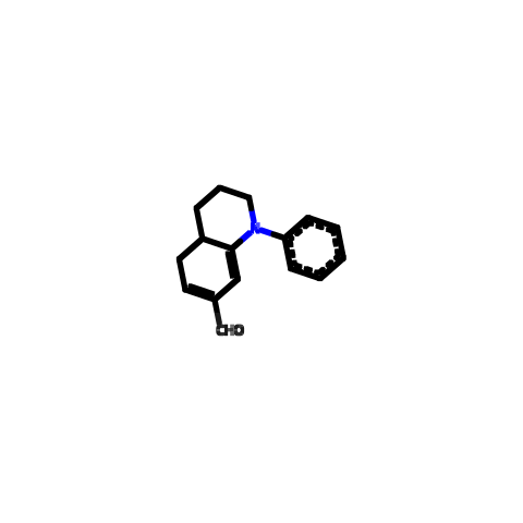 O=CC1=CCC2CCCN(c3ccccc3)C2=C1